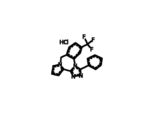 Cl.FC(F)(F)c1ccc2c(c1)-n1c(-c3ccccc3)nnc1-c1cccn1C2